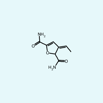 CC=C1C=C(C(N)=O)OC1C(N)=O